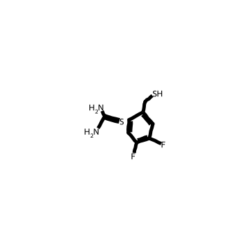 Fc1ccc(CS)cc1F.NC(N)=S